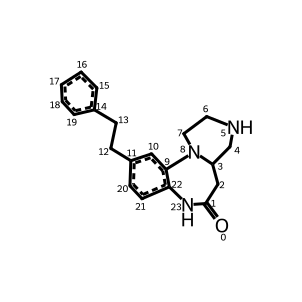 O=C1CC2CNCCN2c2cc(CCc3ccccc3)ccc2N1